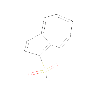 CC(C)S(=O)(=O)c1ccc2cccccc1-2